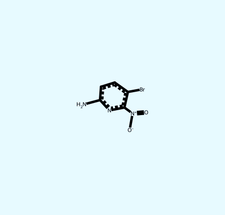 Nc1ccc(Br)c([N+](=O)[O-])n1